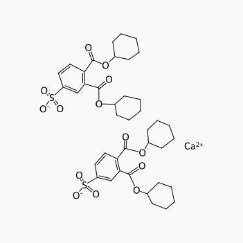 O=C(OC1CCCCC1)c1ccc(S(=O)(=O)[O-])cc1C(=O)OC1CCCCC1.O=C(OC1CCCCC1)c1ccc(S(=O)(=O)[O-])cc1C(=O)OC1CCCCC1.[Ca+2]